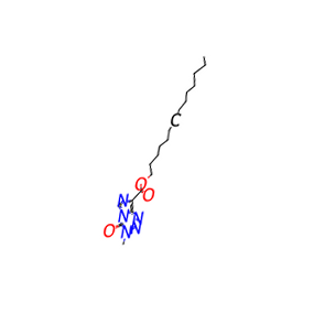 CCCCCCCCCCCCCCOC(=O)c1ncn2c(=O)n(C)nnc12